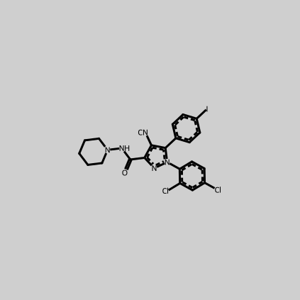 [C-]#[N+]c1c(C(=O)NN2CCCCC2)nn(-c2ccc(Cl)cc2Cl)c1-c1ccc(I)cc1